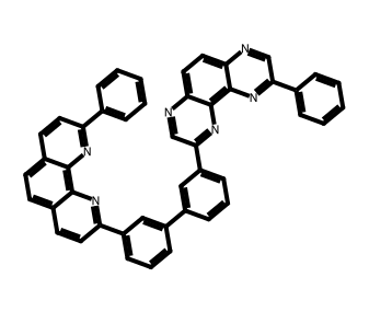 c1ccc(-c2ccc3ccc4ccc(-c5cccc(-c6cccc(-c7cnc8ccc9ncc(-c%10ccccc%10)nc9c8n7)c6)c5)nc4c3n2)cc1